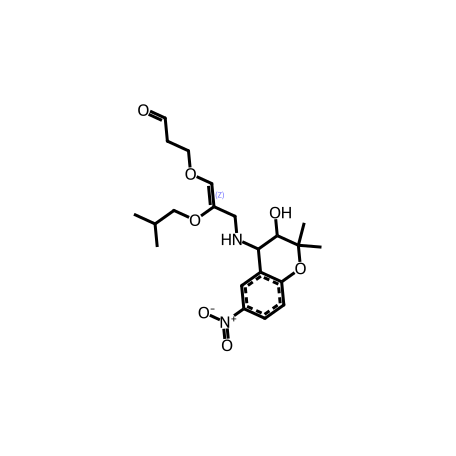 CC(C)CO/C(=C\OCCC=O)CNC1c2cc([N+](=O)[O-])ccc2OC(C)(C)C1O